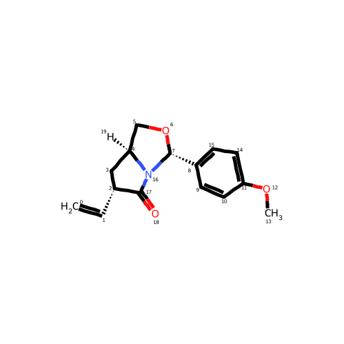 C=C[C@@H]1C[C@H]2CO[C@H](c3ccc(OC)cc3)N2C1=O